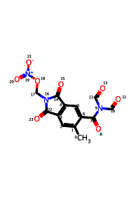 Cc1cc2c(cc1C(=O)N(C=O)C=O)C(=O)N(CO[N+](=O)[O-])C2=O